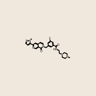 CN1CCN(CCNC(=O)c2cc(F)cc(Cn3ccc4cc(-c5ccnn5C)ncc4c3=O)c2)CC1